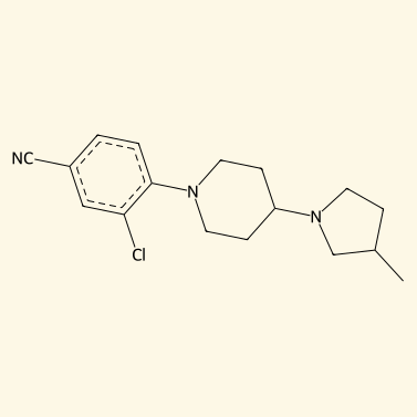 CC1CCN(C2CCN(c3ccc(C#N)cc3Cl)CC2)C1